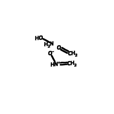 C=O.C=[NH+][O-].NO